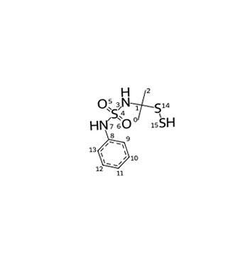 CC(C)(NS(=O)(=O)Nc1ccccc1)SS